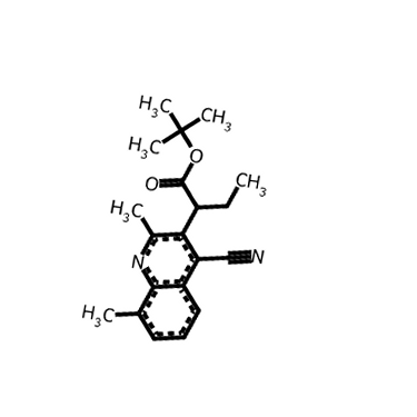 CCC(C(=O)OC(C)(C)C)c1c(C)nc2c(C)cccc2c1C#N